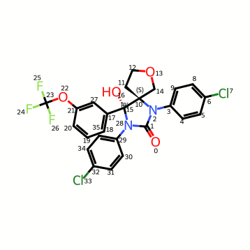 O=C1N(c2ccc(Cl)cc2)[C@]2(CCOC2)[C@](O)(c2cccc(OC(F)(F)F)c2)N1c1ccc(Cl)cc1